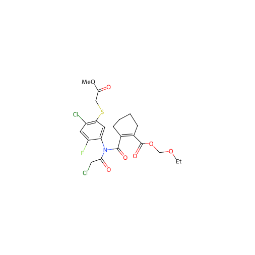 CCOCOC(=O)C1=C(C(=O)N(C(=O)CCl)c2cc(SCC(=O)OC)c(Cl)cc2F)CCCC1